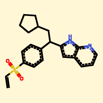 C=CS(=O)(=O)c1ccc(C(CC2CCCC2)c2cc3cccnc3[nH]2)cc1